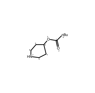 CCCCC(=O)OC1CCNCC1